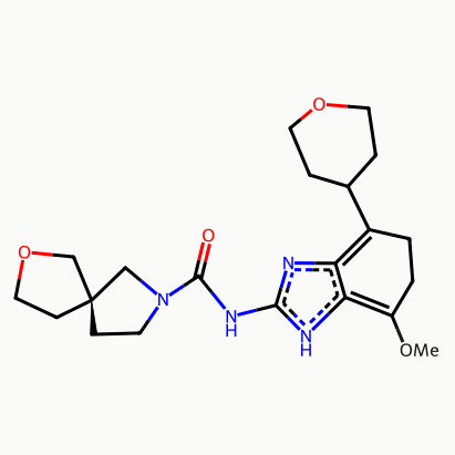 COC1=c2[nH]c(NC(=O)N3CC[C@]4(CCOC4)C3)nc2=C(C2CCOCC2)CC1